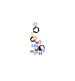 C[C@H]1[C@H](NC(=O)c2ccc(Sc3cccc(Cl)c3)o2)C2CCN1CC2